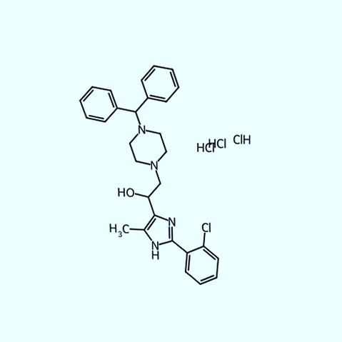 Cc1[nH]c(-c2ccccc2Cl)nc1C(O)CN1CCN(C(c2ccccc2)c2ccccc2)CC1.Cl.Cl.Cl